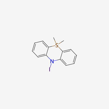 CS1(C)c2ccccc2N(I)c2ccccc21